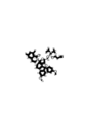 COc1ccc(C(O[C@H]2C[C@H](n3ccc4cc(C)cc(C)c4c3=O)O[C@@H]2COP(OCCC#N)N(C(C)C)C(C)C)(c2ccccc2)c2ccc(OC)cc2)cc1